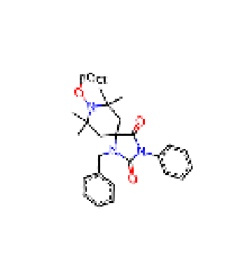 CCCCCCCCON1C(C)(C)CC2(CC1(C)C)C(=O)N(c1ccccc1)C(=O)N2Cc1ccccc1